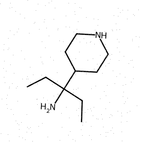 CCC(N)(CC)C1CCNCC1